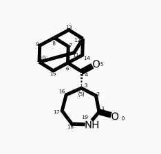 O=C1C[C@@H](C(=O)C23CC4CC(CC(C4)C2)C3)CCCN1